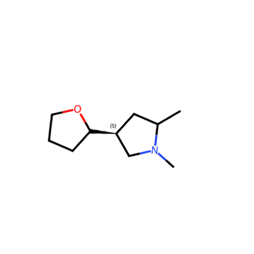 CC1C[C@H](C2CCCO2)CN1C